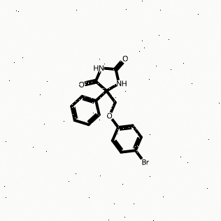 O=C1NC(=O)C(COc2ccc(Br)cc2)(c2ccccc2)N1